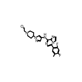 Cc1cc(-c2cnc(Nc3cnn(C4CCN(CC=O)CC4)c3)c3nccn23)c(F)cc1F